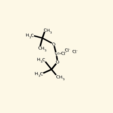 CC(C)(C)[O][V+3][O]C(C)(C)C.[Cl-].[Cl-].[Cl-]